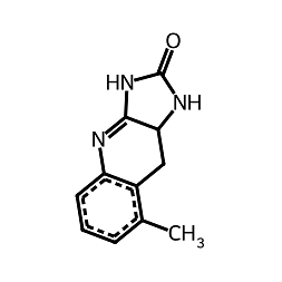 Cc1cccc2c1CC1NC(=O)NC1=N2